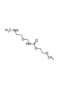 CNCCOCNC(=O)OCCOC